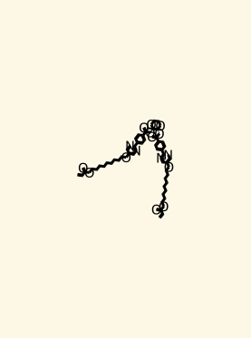 C=CC(=O)OCCCCCCCCCOc1cnc(-c2ccc(C(=O)O[C@H]3OCCO[C@@H]3OC(=O)c3ccc(-c4ncc(OCCCCCCCCCOC(=O)C=C)cn4)cc3)cc2)nc1